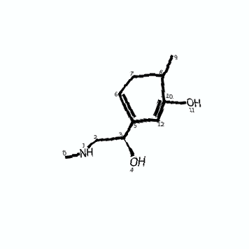 CNC[C@H](O)C1=CCC(C)C(O)=C1